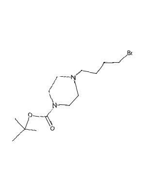 CC(C)(C)OC(=O)N1CCN(CCCCBr)CC1